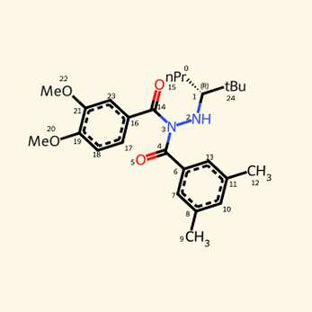 CCC[C@@H](NN(C(=O)c1cc(C)cc(C)c1)C(=O)c1ccc(OC)c(OC)c1)C(C)(C)C